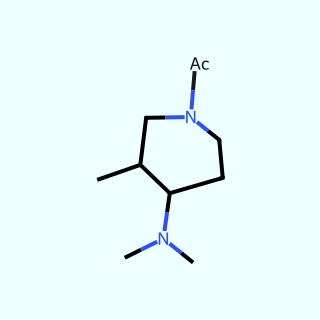 CC(=O)N1CCC(N(C)C)C(C)C1